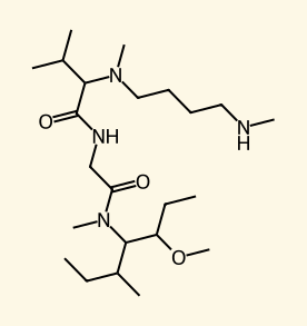 CCC(C)C(C(CC)OC)N(C)C(=O)CNC(=O)C(C(C)C)N(C)CCCCNC